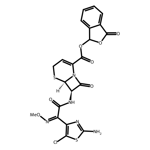 CO/N=C(\C(=O)N[C@@H]1C(=O)N2C(C(=O)OC3OC(=O)c4ccccc43)=CCS[C@H]12)c1nc(N)sc1Cl